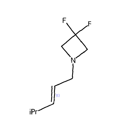 CC(C)/C=C/CN1CC(F)(F)C1